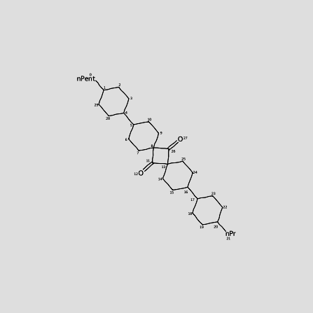 CCCCCC1CCC(C2CCC3(CC2)C(=O)C2(CCC(C4CCC(CCC)CC4)CC2)C3=O)CC1